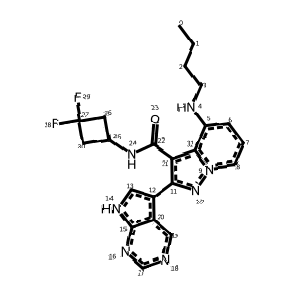 CCCCNc1cccn2nc(-c3c[nH]c4ncncc34)c(C(=O)NC3CC(F)(F)C3)c12